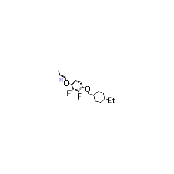 C/C=C/Oc1ccc(OCC2CCC(CC)CC2)c(F)c1F